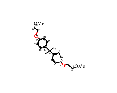 C/C=C(\C=C/COCCOC)C(C)(C)c1ccc(OCCOC)cc1